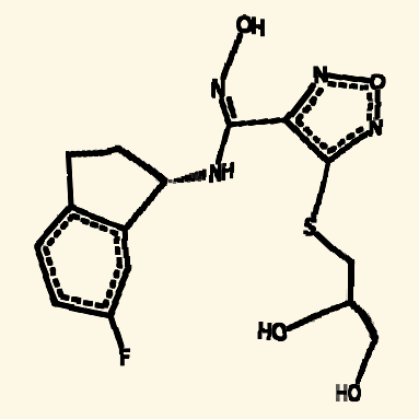 OCC(O)CSc1nonc1C(=NO)N[C@H]1CCc2ccc(F)cc21